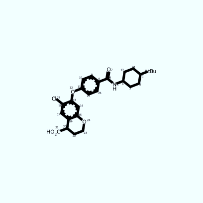 CC(C)(C)C1CCC(NC(=O)c2ccc(Oc3cc4c(cc3Cl)C(C(=O)O)CCO4)cc2)CC1